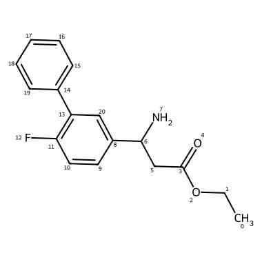 CCOC(=O)CC(N)c1ccc(F)c(-c2ccccc2)c1